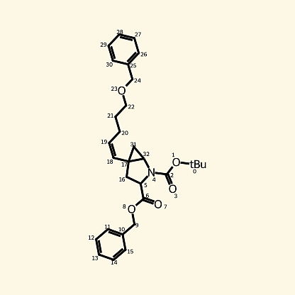 CC(C)(C)OC(=O)N1C(C(=O)OCc2ccccc2)CC2(/C=C\CCCOCc3ccccc3)CC12